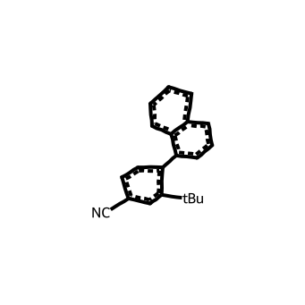 CC(C)(C)c1cc(C#N)ccc1-c1cccc2ccccc12